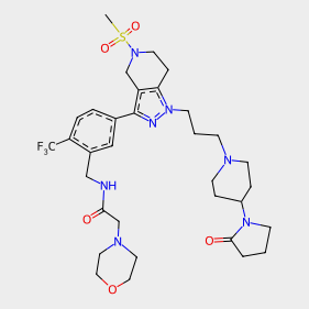 CS(=O)(=O)N1CCc2c(c(-c3ccc(C(F)(F)F)c(CNC(=O)CN4CCOCC4)c3)nn2CCCN2CCC(N3CCCC3=O)CC2)C1